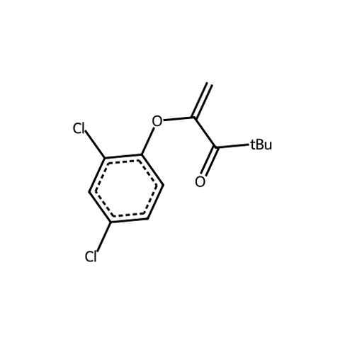 C=C(Oc1ccc(Cl)cc1Cl)C(=O)C(C)(C)C